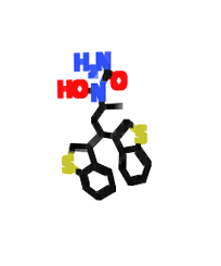 CC(CC(c1csc2ccccc12)c1csc2ccccc12)N(O)C(N)=O